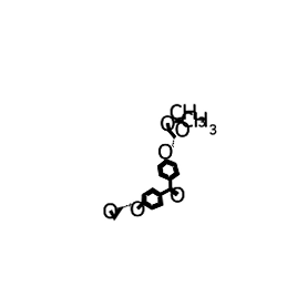 CC1(C)OC[C@@H](COc2ccc(C(=O)c3ccc(OC[C@@H]4CO4)cc3)cc2)O1